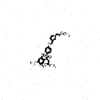 COCCN1CCC(COc2ccc(S(=O)(=O)N(CC(C)C)c3ccc(C)cc3C)cc2)C1